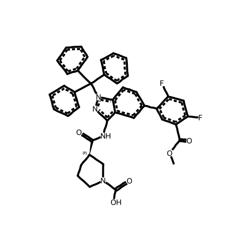 COC(=O)c1cc(-c2ccc3c(c2)c(NC(=O)[C@@H]2CCCN(C(=O)O)C2)nn3C(c2ccccc2)(c2ccccc2)c2ccccc2)c(F)cc1F